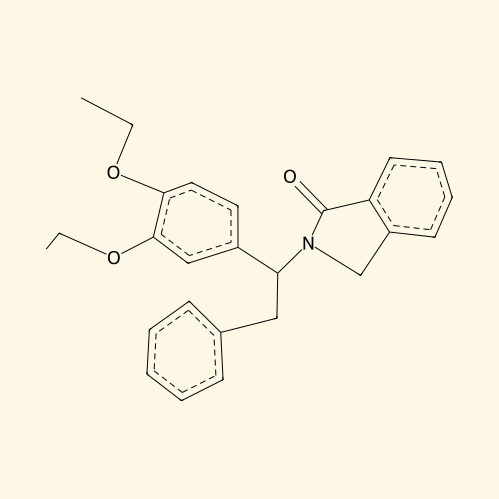 CCOc1ccc(C(Cc2ccccc2)N2Cc3ccccc3C2=O)cc1OCC